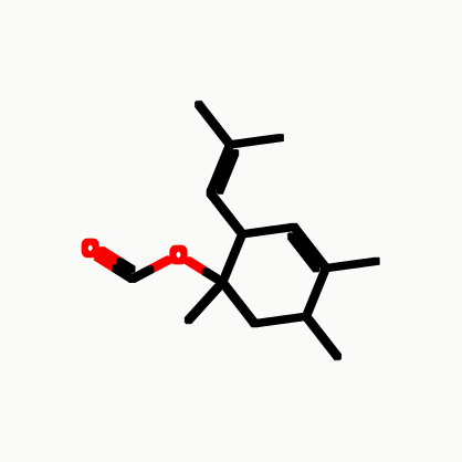 CC(C)=CC1C=C(C)C(C)CC1(C)OC=O